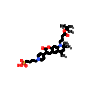 CC1=CC(C)(C)N(CCCC(=O)OC(C)(C)C)c2cc3oc(=O)c(-c4cc[n+](CCCCS(=O)(=O)O)cc4)cc3cc21